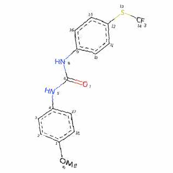 COc1ccc(NC(=O)Nc2ccc(SC(F)(F)F)cc2)cc1